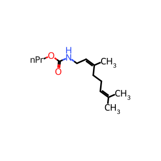 CCCOC(=O)NC/C=C(/C)CCC=C(C)C